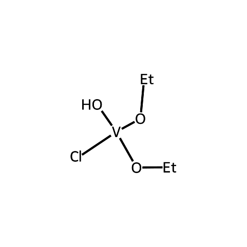 CC[O][V]([OH])([Cl])[O]CC